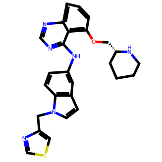 c1cc(OC[C@H]2CCCCN2)c2c(Nc3ccc4c(ccn4Cc4cscn4)c3)ncnc2c1